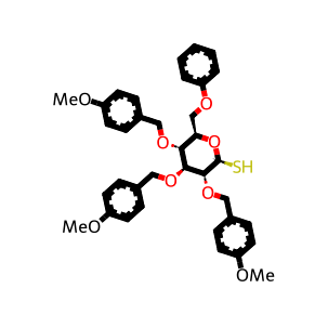 COc1ccc(CO[C@@H]2[C@@H](OCc3ccc(OC)cc3)[C@H](S)O[C@H](COc3ccccc3)[C@H]2OCc2ccc(OC)cc2)cc1